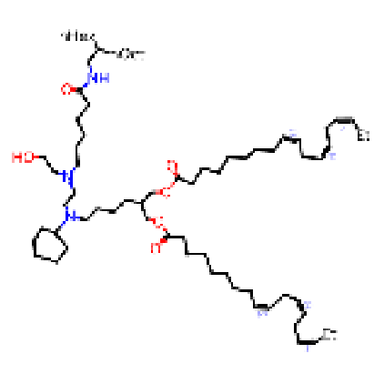 CC/C=C\C/C=C\C/C=C\CCCCCCCC(=O)OCC(CCCCN(CCN(CCO)CCCCCC(=O)NCC(CCCCCC)CCCCCCCC)C1CCCCC1)COC(=O)CCCCCCC/C=C\C/C=C\C/C=C\CC